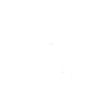 CCOCCNC(=O)c1cccc(S(=O)(=O)C(Br)(Br)Br)c1